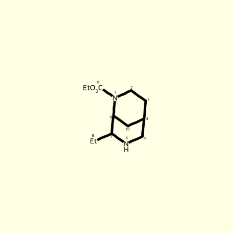 CCOC(=O)N1CCC2CNC(CC)C1C2